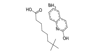 CC(C)(C)CCCCCC(=O)O.Oc1ccc2ccccc2n1.[BiH3]